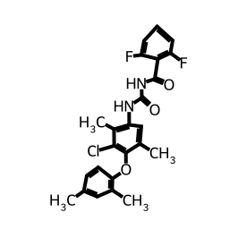 Cc1ccc(Oc2c(C)cc(NC(=O)NC(=O)c3c(F)cccc3F)c(C)c2Cl)c(C)c1